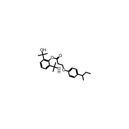 CCC(C)c1ccc(OCCC(=O)Oc2c(C(C)(C)O)cccc2C(C)(C)O)cc1